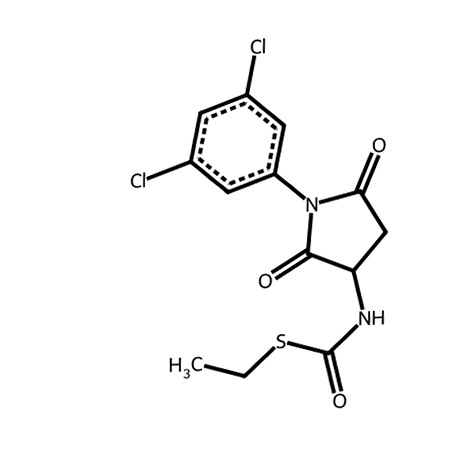 CCSC(=O)NC1CC(=O)N(c2cc(Cl)cc(Cl)c2)C1=O